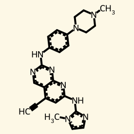 C#Cc1cc(Nc2nccn2C)nc2nc(Nc3ccc(N4CCN(C)CC4)cc3)ncc12